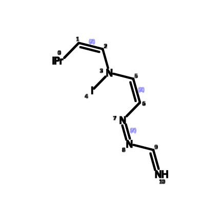 CC(C)/C=C\N(I)/C=C\N=N/C=N